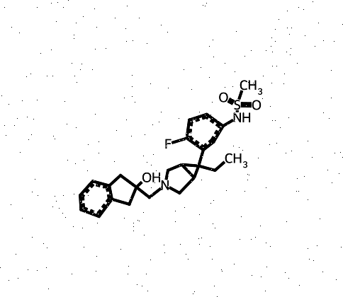 CCC1(c2cc(NS(C)(=O)=O)ccc2F)C2CN(CC3(O)Cc4ccccc4C3)CC21